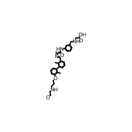 Cc1c(OCCCNCC=O)cccc1-c1cccc(-c2nnc(Nc3cccc(CNCC(=O)O)c3)o2)c1C